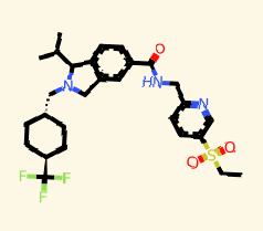 CCS(=O)(=O)c1ccc(CNC(=O)c2ccc3c(c2)CN(C[C@H]2CC[C@H](C(F)(F)F)CC2)C3C(C)C)nc1